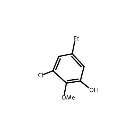 CCc1cc(O)c(OC)c(Cl)c1